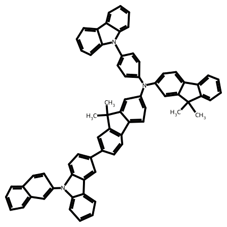 CC1(C)c2ccccc2-c2ccc(N(c3ccc(-n4c5ccccc5c5ccccc54)cc3)c3ccc4c(c3)C(C)(C)c3cc(-c5ccc6c(c5)c5ccccc5n6-c5ccc6ccccc6c5)ccc3-4)cc21